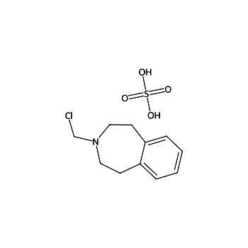 ClCN1CCc2ccccc2CC1.O=S(=O)(O)O